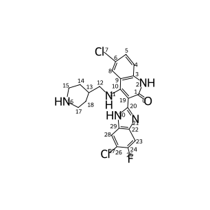 O=c1[nH]c2ccc(Cl)cc2c(NCC2CCNCC2)c1-c1nc2cc(F)c(Cl)cc2[nH]1